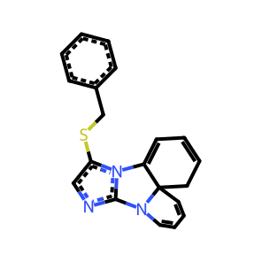 C1=CCC23C=CC=CN2c2ncc(SCc4ccccc4)n2C3=C1